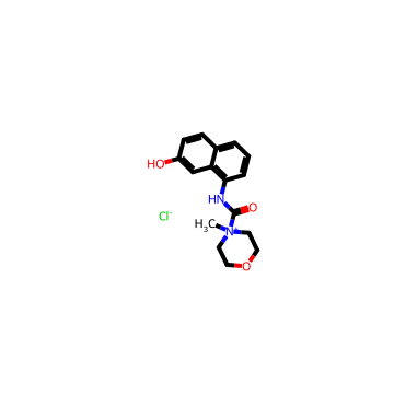 C[N+]1(C(=O)Nc2cccc3ccc(O)cc23)CCOCC1.[Cl-]